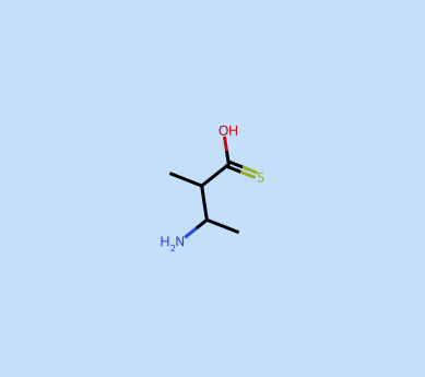 CC(N)C(C)C(O)=S